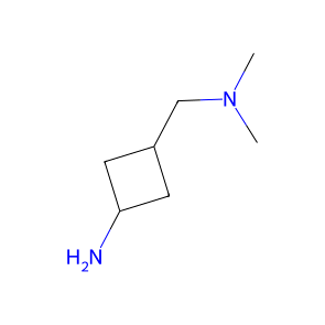 CN(C)CC1CC(N)C1